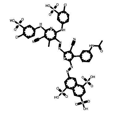 CC(=O)Nc1cccc(-c2c(N=Nc3cc(S(=O)(=O)O)c4cc(S(=O)(=O)O)cc(S(=O)(=O)O)c4c3)sc(N=Nc3c(Nc4ccc(Cl)c(S(=O)(=O)O)c4)nc(Nc4ccc(Cl)c(S(=O)(=O)O)c4)c(C#N)c3C)c2C#N)c1